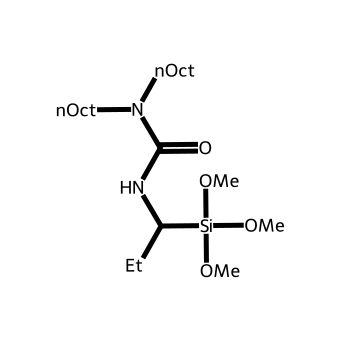 CCCCCCCCN(CCCCCCCC)C(=O)NC(CC)[Si](OC)(OC)OC